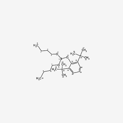 CCCCOB(OCCCC)Oc1c(C(C)(C)C)cccc1C(C)(C)C